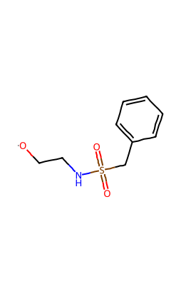 [O]CCNS(=O)(=O)Cc1ccccc1